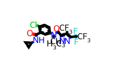 CN(C(=O)c1c(C(F)(F)F)c(C(F)(F)C(F)(F)F)nn1C)c1ccc(Cl)c(C(=O)NC2CC2)c1